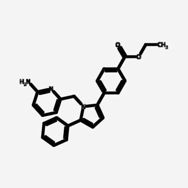 CCOC(=O)c1ccc(-c2ccc(-c3ccccc3)n2Cc2cccc(N)n2)cc1